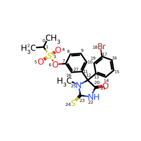 CC(C)S(=O)(=O)Oc1cccc(C2(c3cccc(Br)c3)C(=O)NC(=S)N2C)c1